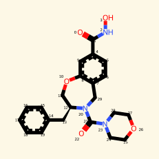 O=C(NO)c1ccc2c(c1)OC[C@H](Cc1ccccc1)N(C(=O)N1CCOCC1)C2